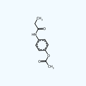 CCC(=O)Nc1ccc(OC(C)=O)cc1